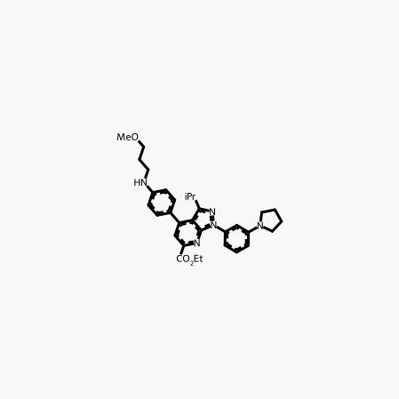 CCOC(=O)c1cc(-c2ccc(NCCCOC)cc2)c2c(C(C)C)nn(-c3cccc(N4CCCC4)c3)c2n1